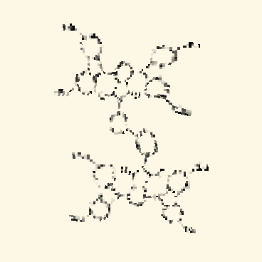 CC(C)(C)c1ccc2c(c1)c1cc(C(C)(C)C)ccc1n2-c1ccc(-n2c3ccc(C(C)(C)C)cc3c3cc(C(C)(C)C)ccc32)c2c1C(=O)N(c1cccc(-c3cccc(N4C(=O)c5c(-n6c7ccc(C(C)(C)C)cc7c7cc(C(C)(C)C)ccc76)ccc(-n6c7ccc(C(C)(C)C)cc7c7cc(C(C)(C)C)ccc76)c5C4=O)c3)c1)C2=O